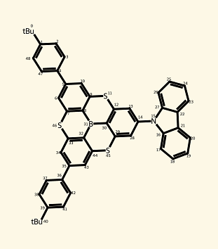 CC(C)(C)c1ccc(-c2cc3c4c(c2)Sc2cc(-n5c6ccccc6c6ccccc65)cc5c2B4c2c(cc(-c4ccc(C(C)(C)C)cc4)cc2S5)S3)cc1